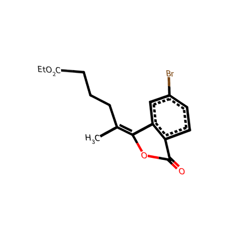 CCOC(=O)CCCC(C)=C1OC(=O)c2ccc(Br)cc21